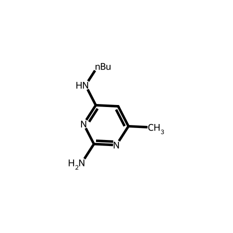 CCCCNc1cc(C)nc(N)n1